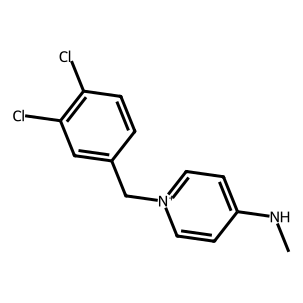 CNc1cc[n+](Cc2ccc(Cl)c(Cl)c2)cc1